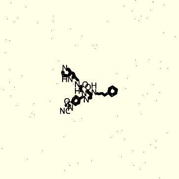 CS(=O)(=NC#N)c1ccc(-c2ncc(NCCCc3ccccc3)c(=O)n2CC(=O)NCc2cc3cnccc3[nH]2)cc1